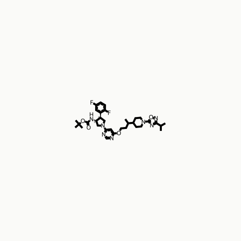 CC(C)c1noc(N2CCC(C(C)CCOc3cc(N4C[C@H](NC(=O)OC(C)(C)C)[C@@H](c5cc(F)ccc5F)C4)ncn3)CC2)n1